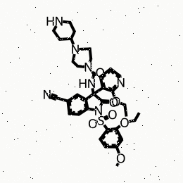 CCOc1cc(OC)ccc1S(=O)(=O)N1C(=O)C(NC(=O)N2CCN(C3CCNCC3)CC2)(c2cccnc2OCC)c2cc(C#N)ccc21